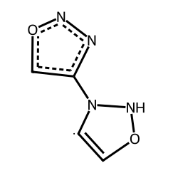 [C]1=CONN1c1conn1